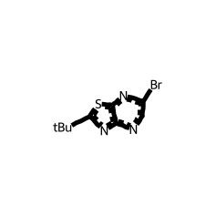 CC(C)(C)c1nc2ncc(Br)nc2s1